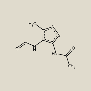 CC(=O)Nc1snc(C)c1NC=O